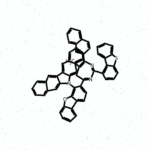 CC1=C(c2ccc3ccccc3c2)N=C(c2cccc3sc4ccccc4c23)N=C(c2ccc3c(oc4ccccc43)c2-n2c3cc4ccccc4cc3c3cc4ccccc4cc32)C1